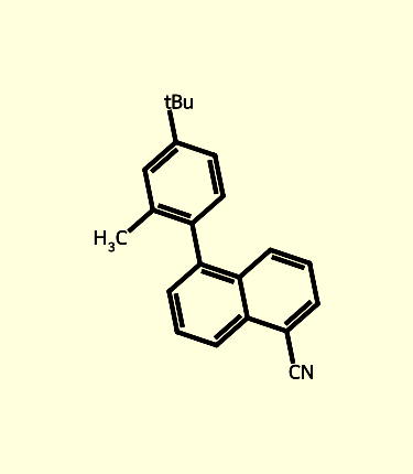 Cc1cc(C(C)(C)C)ccc1-c1cccc2c(C#N)cccc12